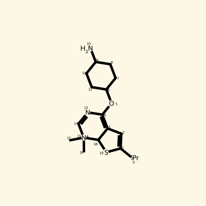 CC(C)C1=CC2=C(OC3CCC(N)CC3)N=C[N+](C)(C)C2S1